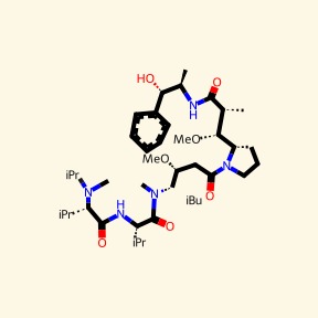 CC[C@H](C)[C@@H]([C@@H](CC(=O)N1CCC[C@H]1[C@H](OC)[C@@H](C)C(=O)N[C@H](C)[C@@H](O)c1ccccc1)OC)N(C)C(=O)[C@@H](NC(=O)[C@H](C(C)C)N(C)C(C)C)C(C)C